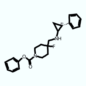 O=C(Oc1ccccc1)N1CCC(F)(CNC2C[C@@H]2c2ccccc2)CC1